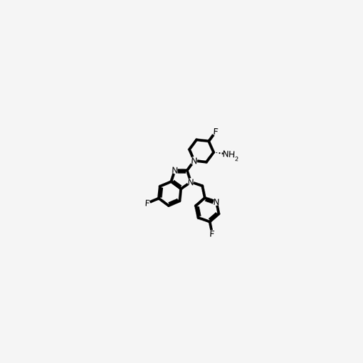 N[C@@H]1CN(c2nc3cc(F)ccc3n2Cc2ccc(F)cn2)CCC1F